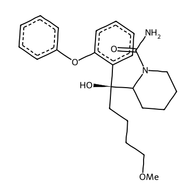 COCCCC[C@](O)(c1ccccc1Oc1ccccc1)C1CCCCN1C(N)=O